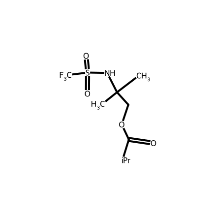 CC(C)C(=O)OCC(C)(C)NS(=O)(=O)C(F)(F)F